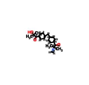 CC(C)(O)C(=O)c1ccc(Cc2ccc(C(=O)C(C)(C)N3CC3)cc2)cc1